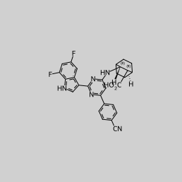 N#Cc1ccc(-c2cc(N[C@@H]3C4CCC(CC4)[C@H]3C(=O)O)nc(-c3c[nH]c4c(F)cc(F)cc34)n2)cc1